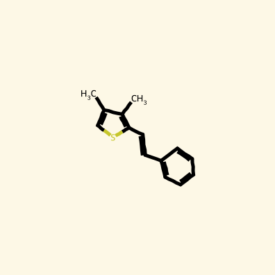 Cc1csc(/C=C/c2ccccc2)c1C